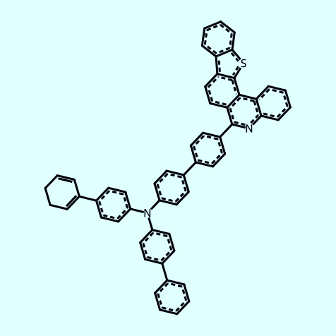 C1=CC(c2ccc(N(c3ccc(-c4ccccc4)cc3)c3ccc(-c4ccc(-c5nc6ccccc6c6c5ccc5c7ccccc7sc56)cc4)cc3)cc2)=CCC1